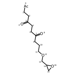 CC(=O)CCC(=O)CCC(=O)CCCOCC1CO1